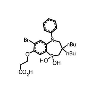 CCCCC1(CCCC)CN(c2ccccc2)c2cc(Br)c(OCCC(=O)O)cc2S(O)(O)C1